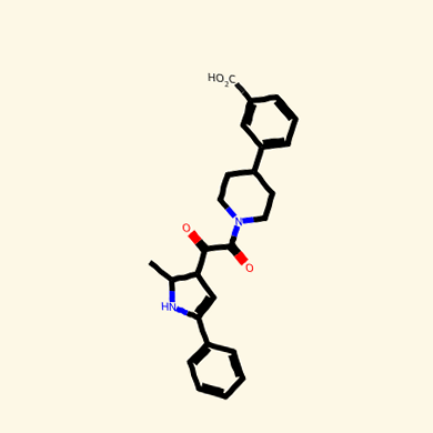 CC1NC(c2ccccc2)=CC1C(=O)C(=O)N1CCC(c2cccc(C(=O)O)c2)CC1